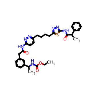 CCOC(=O)NC(C)c1cccc(CC(=O)Nc2ccc(CCCCc3nnc(NC(=O)C(C)c4ccccc4)s3)nn2)c1